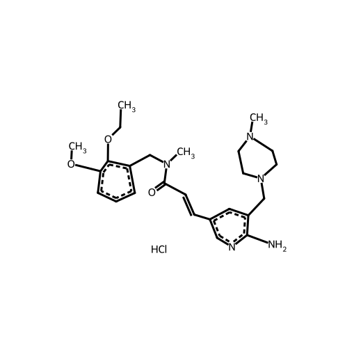 CCOc1c(CN(C)C(=O)C=Cc2cnc(N)c(CN3CCN(C)CC3)c2)cccc1OC.Cl